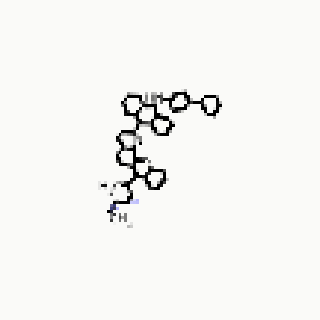 C=C(/C=C\C=C/C)c1c2ccccc2nc2c1ccc1ccc(-c3c4ccccc4c(Nc4ccc(-c5ccccc5)cc4)c4ccccc34)nc12